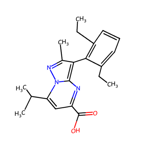 CCc1cccc(CC)c1-c1c(C)nn2c(C(C)C)cc(C(=O)O)nc12